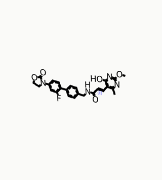 COc1nc(C)c(/C=C/C(=O)NCc2ccc(-c3ccc(N4CCOC4=O)cc3F)cc2)c(O)n1